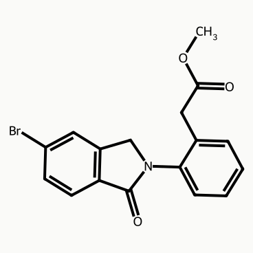 COC(=O)Cc1ccccc1N1Cc2cc(Br)ccc2C1=O